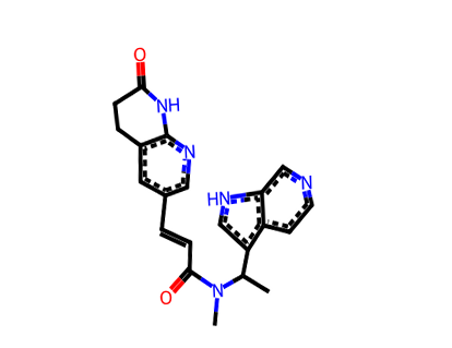 CC(c1c[nH]c2cnccc12)N(C)C(=O)/C=C/c1cnc2c(c1)CCC(=O)N2